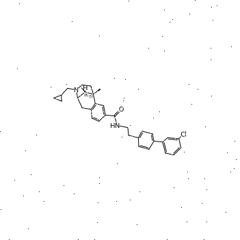 C[C@H]1C2Cc3ccc(C(=O)NCCc4ccc(-c5cccc(Cl)c5)cc4)cc3[C@@]1(C)CCN2CC1CC1